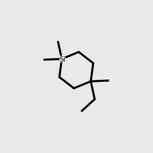 CCC1(C)CC[Si](C)(C)CC1